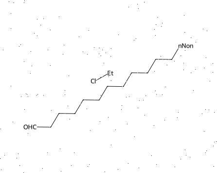 CCCCCCCCCCCCCCCCCCCCC=O.CCCl